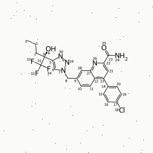 CCC[C@](O)(c1cn(Cc2ccc3c(-c4ccc(Cl)cc4)cc(C(N)=O)nc3c2)nn1)C(F)(F)F